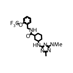 CNc1nc(C)nc(NC2CCCC(C(=O)NCc3ccccc3OC(F)(F)F)C2)n1